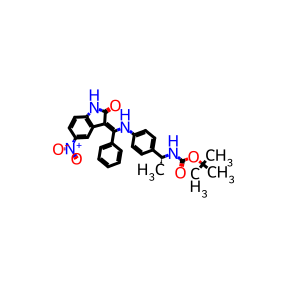 C[C@@H](NC(=O)OC(C)(C)C)c1ccc(N/C(=C2\C(=O)Nc3ccc([N+](=O)[O-])cc32)c2ccccc2)cc1